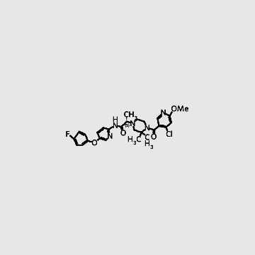 COc1cc(Cl)c(C(=O)N2CCN([C@@H](C)C(=O)Nc3ccc(Oc4ccc(F)cc4)cn3)CC2(C)C)cn1